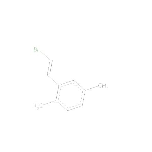 Cc1ccc(C)c(/C=C/Br)c1